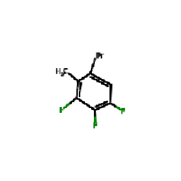 Cc1c(C(C)C)cc(F)c(F)c1F